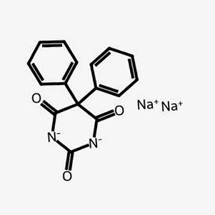 O=C1[N-]C(=O)C(c2ccccc2)(c2ccccc2)C(=O)[N-]1.[Na+].[Na+]